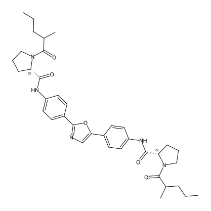 CCCC(C)C(=O)N1CCC[C@H]1C(=O)Nc1ccc(-c2cnc(-c3ccc(NC(=O)[C@@H]4CCCN4C(=O)C(C)CCC)cc3)o2)cc1